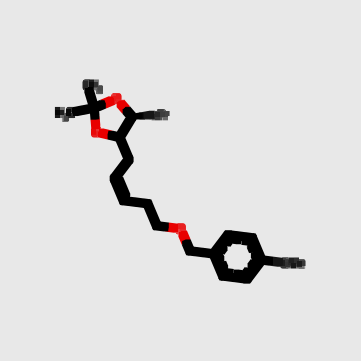 CCC[C@@H]1OC(C)(C)OC1C/C=C\CCOCc1ccc(OC)cc1